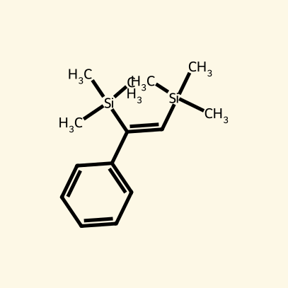 C[Si](C)(C)/C=C(/c1ccccc1)[Si](C)(C)C